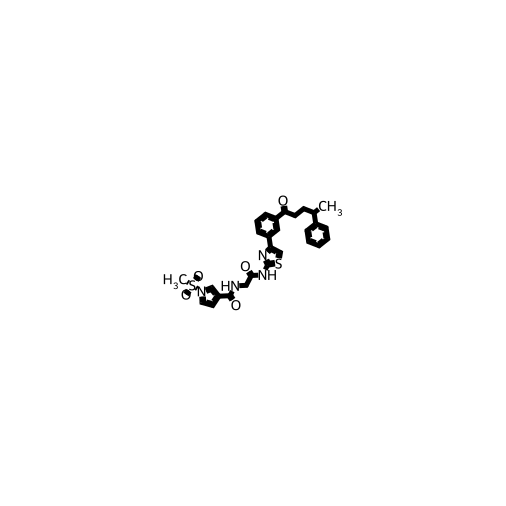 CC(CCC(=O)c1cccc(-c2csc(NC(=O)CNC(=O)c3ccn(S(C)(=O)=O)c3)n2)c1)c1ccccc1